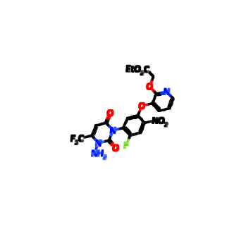 CCOC(=O)COc1ncccc1Oc1cc(-n2c(=O)cc(C(F)(F)F)n(N)c2=O)c(F)cc1[N+](=O)[O-]